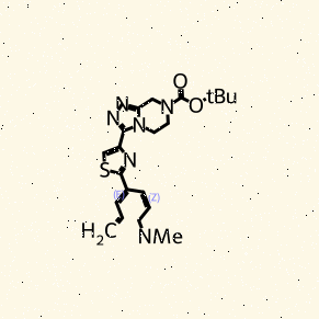 C=C/C=C(\C=C/CNC)c1nc(-c2nnc3n2CCN(C(=O)OC(C)(C)C)C3)cs1